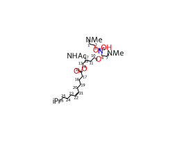 CNCCON(O)C(CNC)OCC[C@H](COC(=O)CCCC/C=C\CCCC(C)C)NC(C)=O